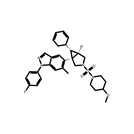 COC1CCN(S(=O)(=O)N2C[C@@H]3[C@@H](C4C=CC=CC4)[C@]3(c3cc4cnn(-c5ccc(F)cc5)c4cc3C)C2)CC1